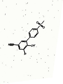 CS(=O)(=O)c1ccc(-c2cc(C#N)cc(Br)c2O)cc1